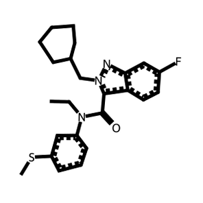 CCN(C(=O)c1c2ccc(F)cc2nn1CC1CCCCC1)c1cccc(SC)c1